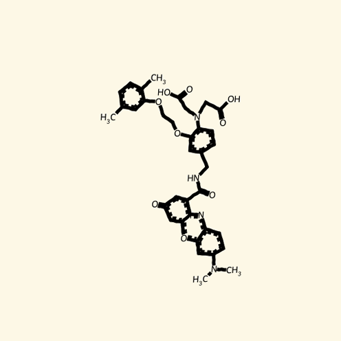 Cc1ccc(C)c(OCCOc2cc(CNC(=O)c3cc(=O)cc4oc5cc(N(C)C)ccc5nc3-4)ccc2N(CC(=O)O)CC(=O)O)c1